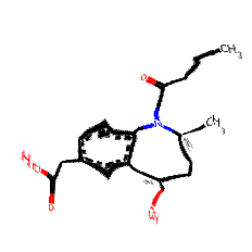 CCCC(=O)N1c2ccc(C(=O)O)cc2[C@H](O)C[C@@H]1C